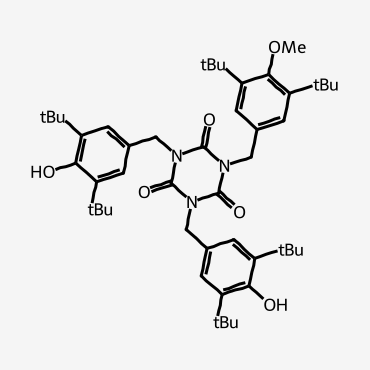 COc1c(C(C)(C)C)cc(Cn2c(=O)n(Cc3cc(C(C)(C)C)c(O)c(C(C)(C)C)c3)c(=O)n(Cc3cc(C(C)(C)C)c(O)c(C(C)(C)C)c3)c2=O)cc1C(C)(C)C